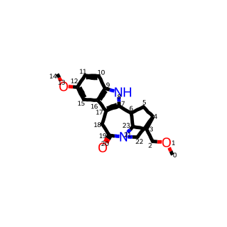 COCC1C2CC3c4[nH]c5ccc(OC)cc5c4CC(=O)N(C2)C31